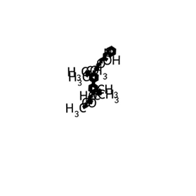 CCOC(=O)COc1ccc(-c2ccc(OCCOCC(O)CN3CCCCC3)c(C(C)(C)C)c2)cc1C(C)(C)C